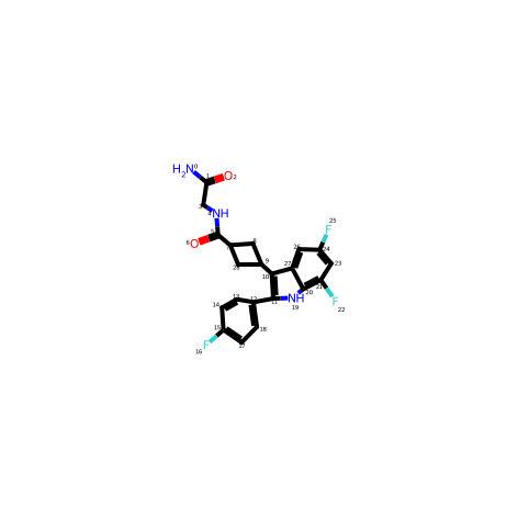 NC(=O)CNC(=O)C1CC(c2c(-c3ccc(F)cc3)[nH]c3c(F)cc(F)cc23)C1